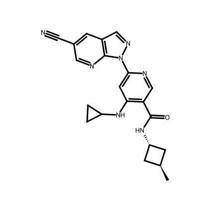 C[C@H]1C[C@H](NC(=O)c2cnc(-n3ncc4cc(C#N)cnc43)cc2NC2CC2)C1